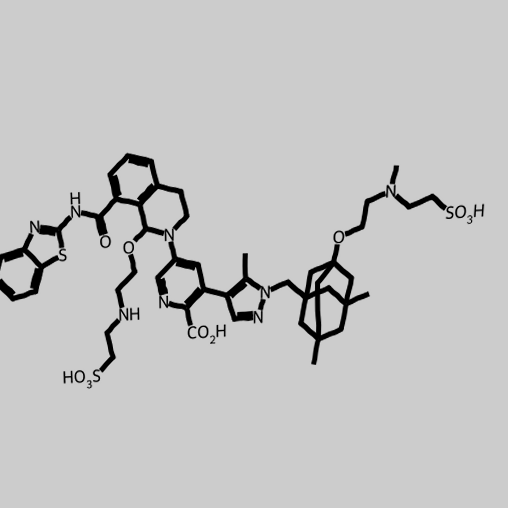 Cc1c(-c2cc(N3CCc4cccc(C(=O)Nc5nc6ccccc6s5)c4C3OCCNCCS(=O)(=O)O)cnc2C(=O)O)cnn1CC12CC3(C)CC(C)(C1)CC(OCCN(C)CCS(=O)(=O)O)(C3)C2